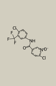 O=C(Nc1ccc(Cl)c(C(F)(F)F)c1)c1ccc(Cl)[n+]([O-])c1